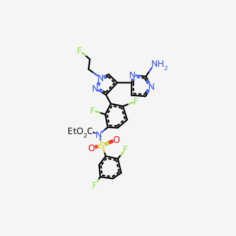 CCOC(=O)N(c1ccc(F)c(-c2nn(CCF)cc2-c2ccnc(N)n2)c1F)S(=O)(=O)c1cc(F)ccc1F